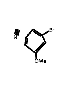 C#N.COc1cccc(Br)c1